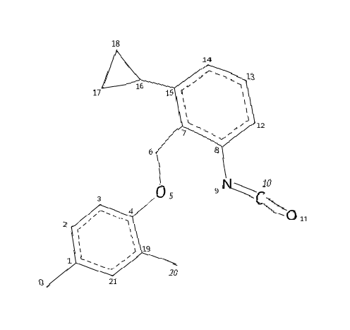 Cc1ccc(OCc2c(N=C=O)cccc2C2CC2)c(C)c1